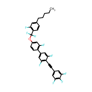 CCCCCc1ccc(C(F)(F)Oc2ccc(-c3cc(F)c(C#Cc4cc(F)c(F)c(F)c4)c(F)c3)c(F)c2)c(F)c1